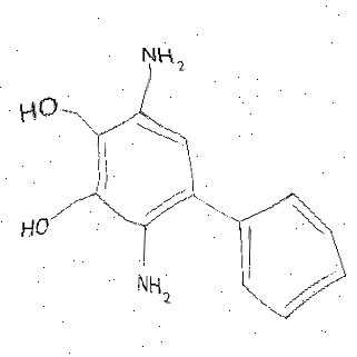 Nc1cc(-c2ccccc2)c(N)c(O)c1O